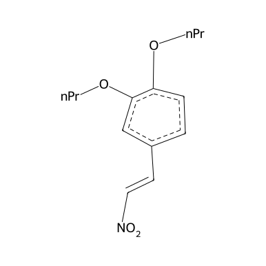 CCCOc1ccc(C=C[N+](=O)[O-])cc1OCCC